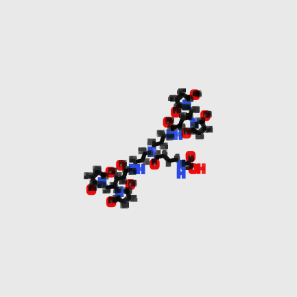 O=C(O)NCCCC(=O)N(CCCNC(=O)CCC(CN1C(=O)C=CC1=O)N1C(=O)C=CC1=O)CCCNC(=O)CCC(CN1C(=O)C=CC1=O)N1C(=O)C=CC1=O